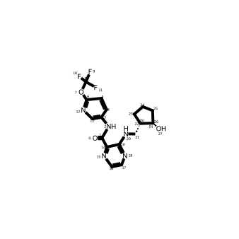 O=C(Nc1ccc(OC(F)(F)F)nc1)c1nccnc1NC[C@@H]1CCC[C@@H]1O